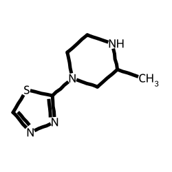 CC1CN(c2nncs2)CCN1